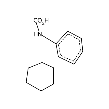 C1CCCCC1.O=C(O)Nc1ccccc1